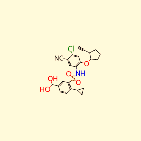 C#CC1CCCC1Oc1cc(Cl)c(C#N)cc1NS(=O)(=O)c1cc(C(O)O)ccc1C1CC1